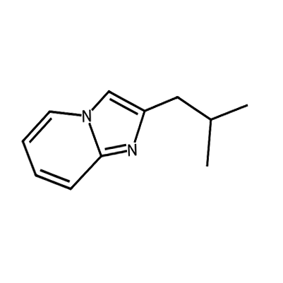 CC(C)Cc1cn2ccccc2n1